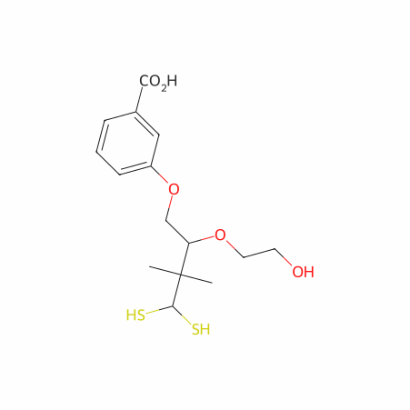 CC(C)(C(S)S)C(COc1cccc(C(=O)O)c1)OCCO